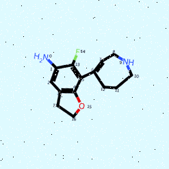 Nc1cc2c(c(C3=CCNCCC3)c1F)OCC2